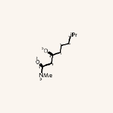 CNC(=O)CC(=O)CCCC(C)C